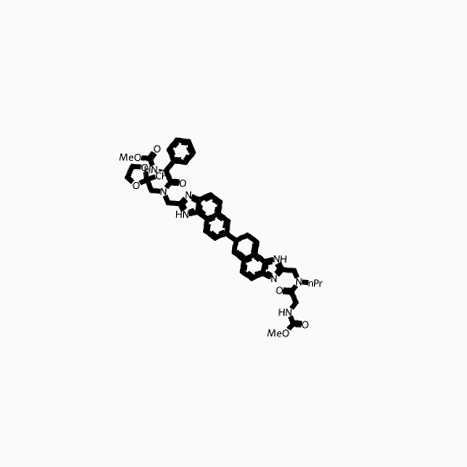 CCCN(Cc1nc2ccc3c(c2[nH]1)=CCC(c1ccc2c(ccc4nc(CN(CC5(C)OCCO5)C(=O)[C@H](NC(=O)OC)c5ccccc5)[nH]c42)c1)C=3)C(=O)CNC(=O)OC